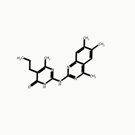 CCCc1c(C)nc(Nc2nc(C)c3cc(C)c(C)cc3n2)[nH]c1=O